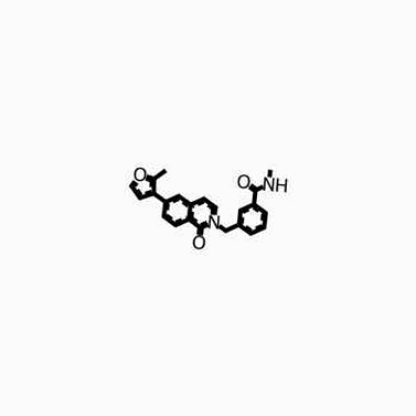 CNC(=O)c1cccc(Cn2ccc3cc(-c4ccoc4C)ccc3c2=O)c1